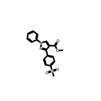 COC(=O)c1cn(-c2ccccc2)nc1-c1ccc(S(C)(=O)=O)cc1